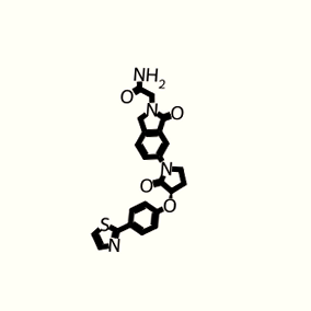 NC(=O)CN1Cc2ccc(N3CC[C@@H](Oc4ccc(-c5nccs5)cc4)C3=O)cc2C1=O